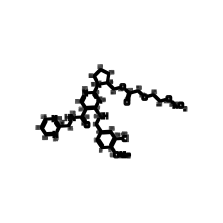 COc1ccc(CNc2nc(N3CCCC3COC(=O)COCCO[N+](=O)[O-])ncc2C(=O)NCc2ncccn2)cc1Cl